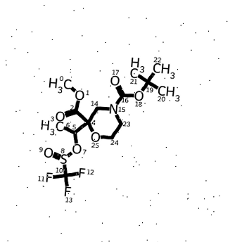 COC(=O)C1(C(C)OS(=O)C(F)(F)F)CN(C(=O)OC(C)(C)C)CCO1